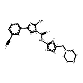 Cc1sc(-c2cccc(C#N)c2)cc1C(=O)Nc1nc(CN2CCOCC2)ns1